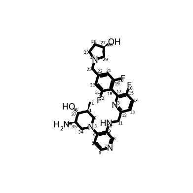 C[C@H]1CN(c2ccncc2NCc2ccc(F)c(-c3c(F)cc(CN4CC[C@@H](O)C4)cc3F)n2)C[C@@H](N)[C@@H]1O